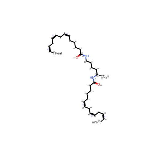 CCCCC/C=C\C/C=C\C/C=C\CCCCC(=O)NCCCC[C@H](NC(=O)CCCC/C=C\C/C=C\C/C=C\CCCCC)C(=O)O